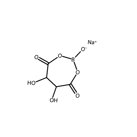 O=C1OB([O-])OC(=O)C(O)C1O.[Na+]